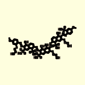 COc1ccc(N=Nc2c(S(=O)(=O)O)cc3c(S(=O)(=O)O)c(N=Nc4c(S(=O)(=O)O)cc5cc(SOOO)c(N=Nc6ccc7c(O)c(N=Nc8ccc(OC)cc8S(=O)(=O)O)c(SOOO)cc7c6S(=O)(=O)O)c(N)c5c4O)ccc3c2O)c(SOOO)c1